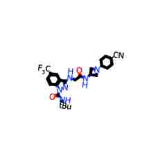 CC(C)(C)NC(=O)n1nc(NCC(=O)NC2CN([C@H]3CC[C@@H](C#N)CC3)C2)c2cc(C(F)(F)F)ccc21